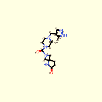 O=C1CCC2(CN(C(=O)N3CCN(Cc4cn[nH]c4C(F)(F)F)CC3)C2)N1